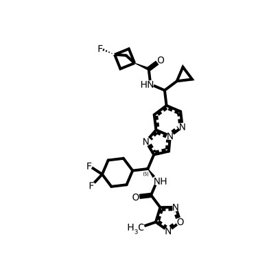 Cc1nonc1C(=O)N[C@H](c1cn2ncc(C(NC(=O)[C@]34C[C@@](F)(C3)C4)C3CC3)cc2n1)C1CCC(F)(F)CC1